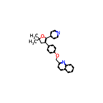 CC1(C)CC(c2ccc(OCc3ccc4ccccc4n3)cc2)=C(c2ccncc2)O1